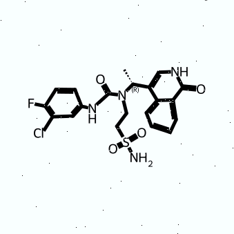 C[C@H](c1c[nH]c(=O)c2ccccc12)N(CCS(N)(=O)=O)C(=O)Nc1ccc(F)c(Cl)c1